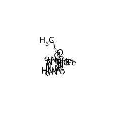 CCCCCCCC(=O)Oc1cccc2c3nc4nc(nc5[nH]c(nc6nc(nc([nH]3)c12)-c1ccccc1-6)c1ccccc51)-c1ccccc1-4.[Fe].[K+].[OH-]